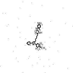 CC(C)(C)c1ccc(-n2nc(-c3ccccn3)cc2CCCCCC(=O)N[C@@H](Cc2ccc(N)cc2)C(N)=O)cc1